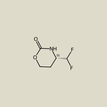 O=C1N[C@H](C(F)F)CCO1